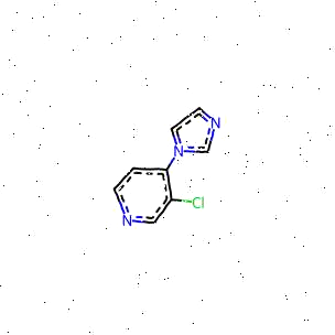 Clc1cnccc1-n1ccnc1